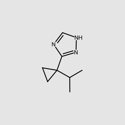 CC(C)C1(c2nc[nH]n2)CC1